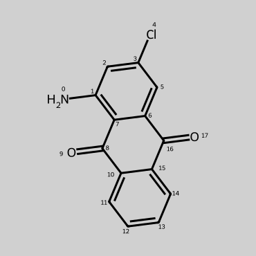 Nc1cc(Cl)cc2c1C(=O)c1ccccc1C2=O